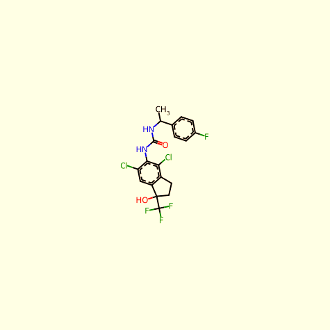 CC(NC(=O)Nc1c(Cl)cc2c(c1Cl)CCC2(O)C(F)(F)F)c1ccc(F)cc1